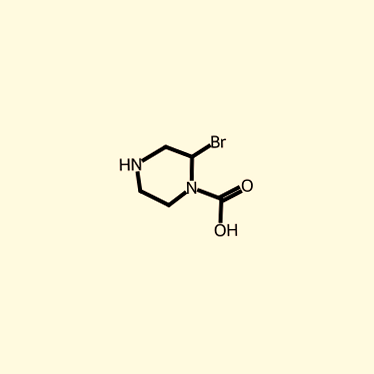 O=C(O)N1CCNCC1Br